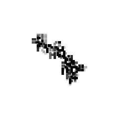 Cc1cc(C2=NO[C@](c3cc(C(F)(F)F)cc(Br)c3F)(C(F)(F)F)C2)ccc1C(=O)NCC(=O)NC(F)C(F)F